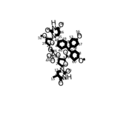 COc1ccc(C(OC[C@H]2O[C@@H](n3cc(C)c(=O)[nH]c3=O)C[C@@H]2OP(=O)(CO[C@@H]2[CH][C@@H](OC)[C@H](n3ccc(=O)[nH]c3=O)O2)OC)(c2ccccc2)c2ccc(OC)cc2)cc1